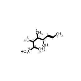 CC=C[C@@H](O)C(C)C(O)C(C)C(=O)O